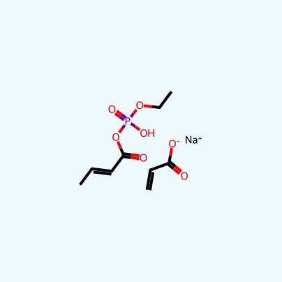 C=CC(=O)[O-].CC=CC(=O)OP(=O)(O)OCC.[Na+]